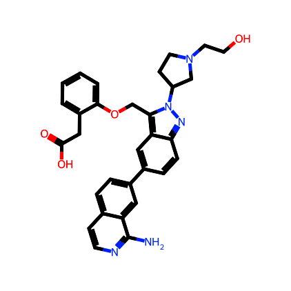 Nc1nccc2ccc(-c3ccc4nn(C5CCN(CCO)C5)c(COc5ccccc5CC(=O)O)c4c3)cc12